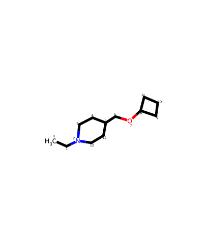 CCN1CCC(COC2CCC2)CC1